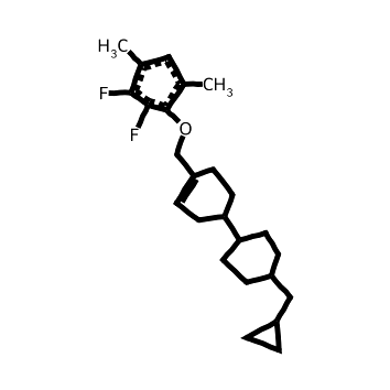 Cc1cc(C)c(OCC2=CCC(C3CCC(CC4CC4)CC3)CC2)c(F)c1F